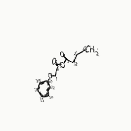 [CH2]CCC(=O)OC(=O)COc1ccccc1